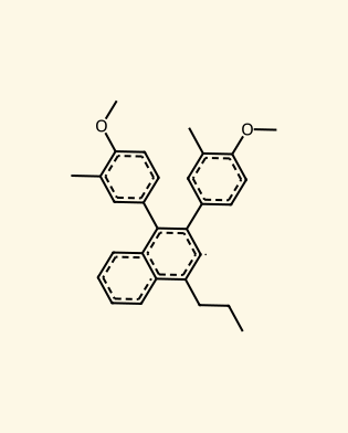 CCCc1[c]c(-c2ccc(OC)c(C)c2)c(-c2ccc(OC)c(C)c2)c2ccccc12